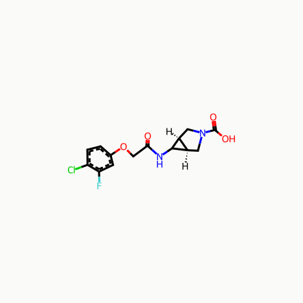 O=C(COc1ccc(Cl)c(F)c1)NC1[C@H]2CN(C(=O)O)C[C@@H]12